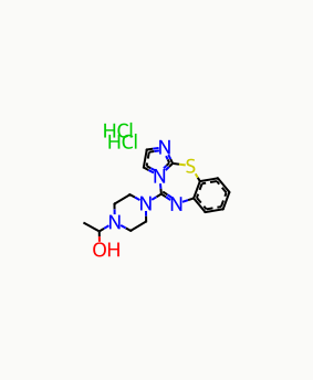 CC(O)N1CCN(C2=Nc3ccccc3Sc3nccn32)CC1.Cl.Cl